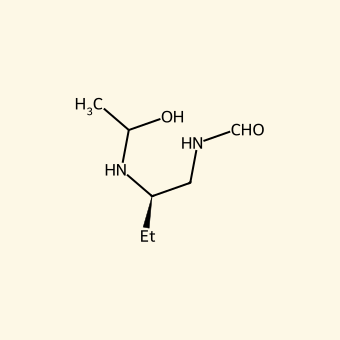 CC[C@H](CNC=O)NC(C)O